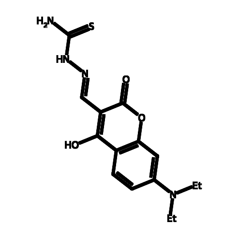 CCN(CC)c1ccc2c(O)c(C=NNC(N)=S)c(=O)oc2c1